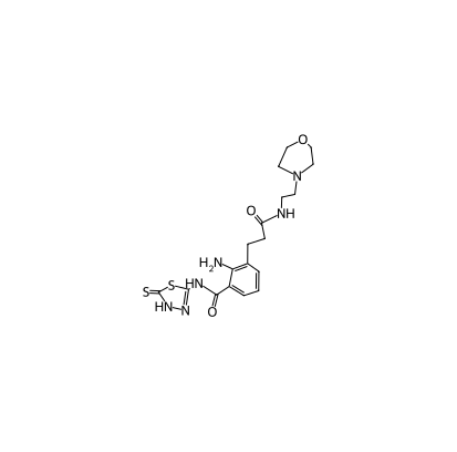 Nc1c(CCC(=O)NCCN2CCOCC2)cccc1C(=O)Nc1n[nH]c(=S)s1